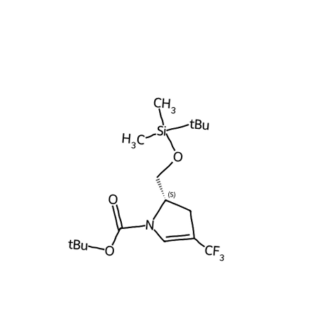 CC(C)(C)OC(=O)N1C=C(C(F)(F)F)C[C@H]1CO[Si](C)(C)C(C)(C)C